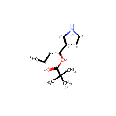 CCC[C@@H](OC(=O)C(C)(C)C)[C@H]1CCNC1